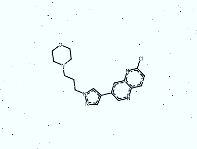 Clc1ccc2ncc(-c3cnn(CCCN4CCOCC4)c3)cc2n1